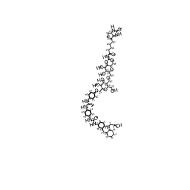 C#CCN1c2ccc(NC(=O)Nc3ccc(NC(=S)Nc4ccc(OCC5OC(CO)C(COCC6OC7COC(NC(=O)CCCCC8SCC9NC(=O)NC98)OC7C(O)C6O)C(O)C5O)cc4)cc3)cc2CC2CCCCC21